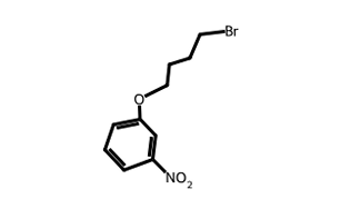 O=[N+]([O-])c1cccc(OCCCCBr)c1